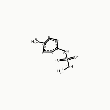 CNS(=O)(=O)Nc1ccc(C)cc1